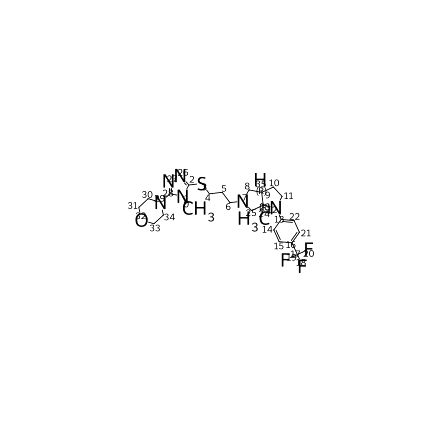 Cn1c(SCCCN2C[C@H]3CCN(c4ccc(C(F)(F)F)cc4)[C@@]3(C)C2)nnc1N1CCOCC1